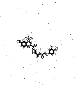 C=C(CCNC(=O)C1CN(S(C)(=O)=O)c2cc(Cl)ccc2O1)NC(=O)COc1ccc(Cl)c(F)c1